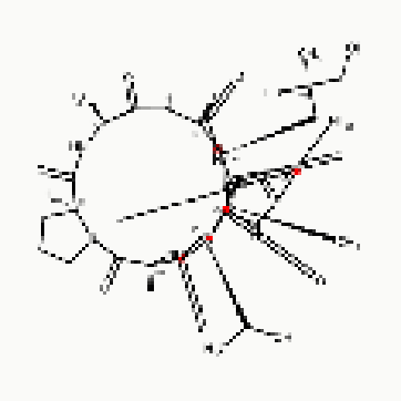 CC(O)[C@H]1NC(=O)[C@H](C)NC(=O)[C@H](C[C@@](C)(O)CO)NC(=O)[C@@H]2Cc3c([nH]c4ccc(N)cc34)SC[C@@H](NC1=O)C(=O)N1CCC[C@H]1C(=O)N[C@@H](C)C(=O)N2